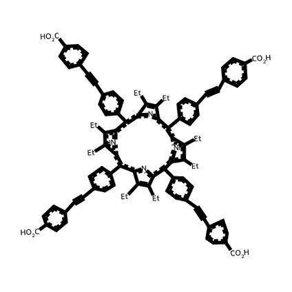 CCC1=C(CC)c2nc1c(-c1ccc(C#Cc3ccc(C(=O)O)cc3)cc1)c1[nH]c(c(CC)c1CC)c(-c1ccc(C#Cc3ccc(C(=O)O)cc3)cc1)c1nc(c(-c3ccc(C#Cc4ccc(C(=O)O)cc4)cc3)c3[nH]c(c(CC)c3CC)c2-c2ccc(C#Cc3ccc(C(=O)O)cc3)cc2)C(CC)=C1CC